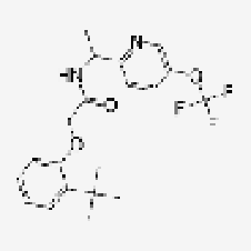 CC(NC(=O)COc1ccccc1C(C)(C)C)c1ccc(OC(F)(F)F)cn1